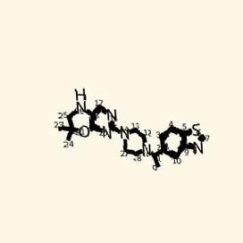 CC(c1ccc2scnc2c1)N1CCN(c2ncc3c(n2)OC(C)(C)CN3)CC1